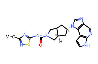 COc1nsc(NC(=O)N2CC3C[C@H](n4cnc5cnc6[nH]ccc6c54)C[C@H]3C2)n1